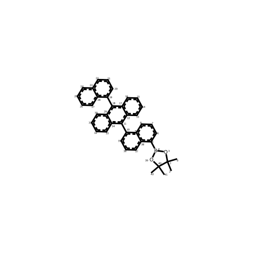 CC1(C)OB(c2cccc3c(-c4c5ccccc5c(-c5cccc6ccccc56)c5ccccc45)cccc23)OC1(C)C